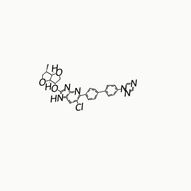 C[C@@H]1CO[C@@H]2C(Oc3nc4nc(-c5ccc(-c6ccc(-n7cncn7)cc6)cc5)c(Cl)cc4[nH]3)CO[C@H]12